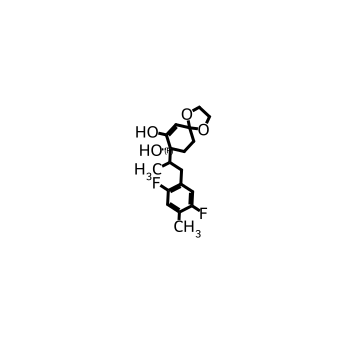 Cc1cc(F)c(CC(C)[C@]2(O)CCC3(C=C2O)OCCO3)cc1F